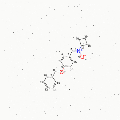 [O-][N+](=Cc1ccc(OCc2ccccc2)cc1)C1CCC1